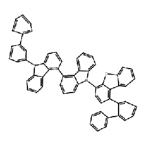 c1ccc(-c2cccc(-n3c4ccccc4c4c(-c5cccc6c5c5ccccc5n6-c5ccc(-c6ccccc6-c6ccccc6)c6c5oc5ccccc56)cccc43)c2)cc1